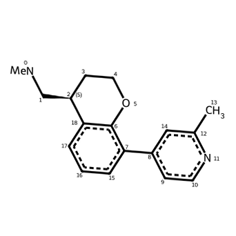 CNC[C@H]1CCOc2c(-c3ccnc(C)c3)cccc21